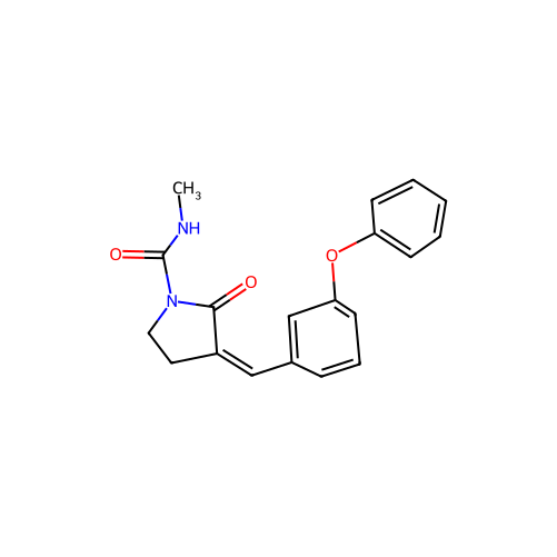 CNC(=O)N1CCC(=Cc2cccc(Oc3ccccc3)c2)C1=O